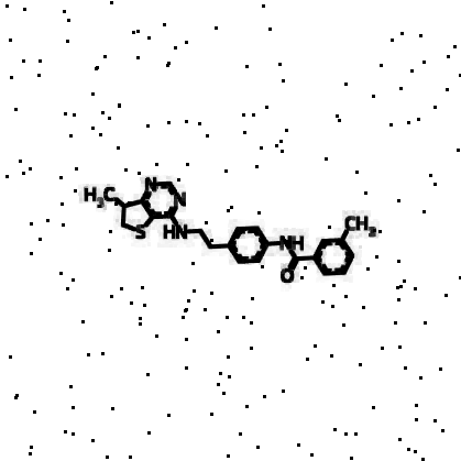 Cc1cccc(C(=O)Nc2ccc(CCNc3ncnc4c3SCC4C)cc2)c1